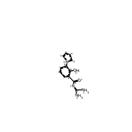 NC(N)=NC(=O)c1cccc(-n2cccc2)c1O